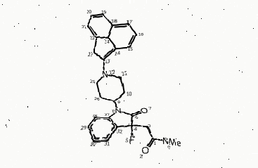 CNC(=O)CC1(F)C(=O)N(C2CCN(C3=C4C=CC=C5C=CC=C(C3)C54)CC2)c2ccccc21